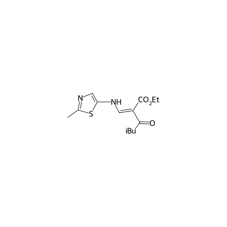 CCOC(=O)/C(=C\Nc1cnc(C)s1)C(=O)C(C)CC